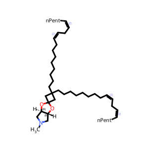 CCCCC/C=C\C/C=C\CCCCCCCCC1(CCCCCCCC/C=C\C/C=C\CCCCC)CC2(C1)O[C@@H]1CN(C)C[C@H]1O2